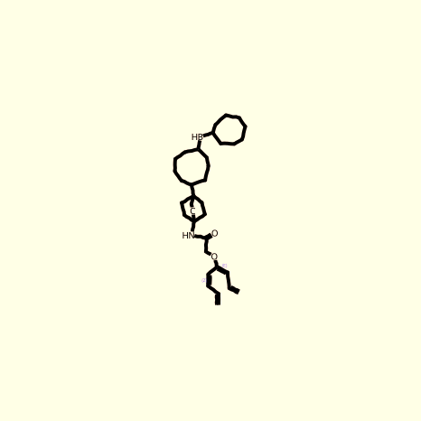 C=C/C=C\C(=C/C=C)OCC(=O)NC12CCC(C3CCCCC(BC4CCCCCCC4)CCC3)(CC1)CC2